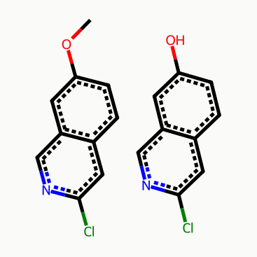 COc1ccc2cc(Cl)ncc2c1.Oc1ccc2cc(Cl)ncc2c1